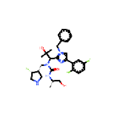 C[C@@H](CO)NC(=O)N(C[C@@H]1CNC[C@@H]1F)C(c1nc(-c2cc(F)ccc2F)cn1Cc1ccccc1)C(C)(C)O